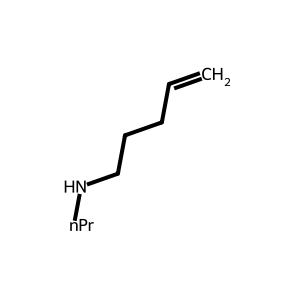 C=CCCCNCCC